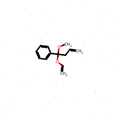 C=CCC(OC)(OC=C)c1ccccc1